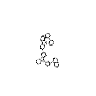 c1ccc(-c2ccccc2-n2c3ccccc3c3ccc(-c4ccc5c(c4)c4ccccc4n5-c4cccc(-c5cccc6ccccc56)c4)cc32)cc1